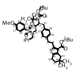 CCCCOC(=O)c1c(CCc2ccc(C[C@H]3[C@@H](CN(CC(C)C)S(=O)(=O)c4ccc(OC)cc4)OC(C)(C)N3C(=O)OC(C)(C)C)cc2)sc2c1CC(C)(C)CC2